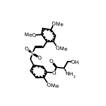 COc1cc(OC)c(/C=C/S(=O)(=O)Cc2ccc(OC)c(OC(=O)[C@H](N)CO)c2)c(OC)c1